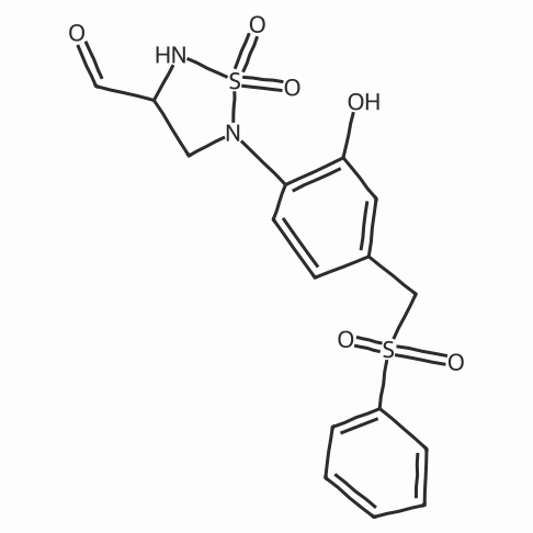 O=CC1CN(c2ccc(CS(=O)(=O)c3ccccc3)cc2O)S(=O)(=O)N1